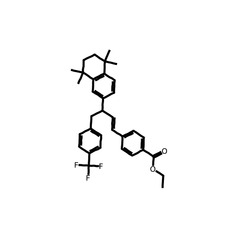 CCOC(=O)c1ccc(/C=C/C(Cc2ccc(C(F)(F)F)cc2)c2ccc3c(c2)C(C)(C)CCC3(C)C)cc1